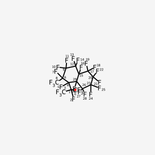 FC(F)(F)C(F)(C(F)(F)F)C1(F)C(F)(C(F)(F)F)C(F)(F)C(F)(F)C2(F)C(F)(F)C(F)(F)C(F)(F)C(F)(F)C21F